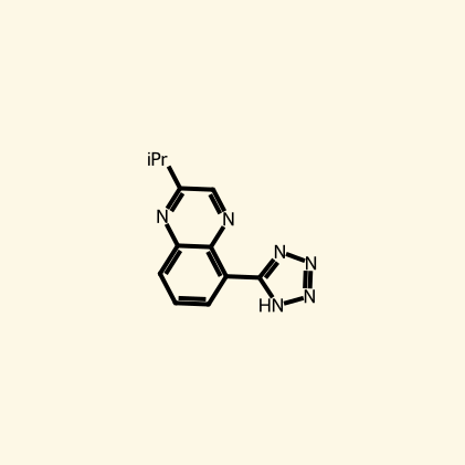 CC(C)c1cnc2c(-c3nnn[nH]3)cccc2n1